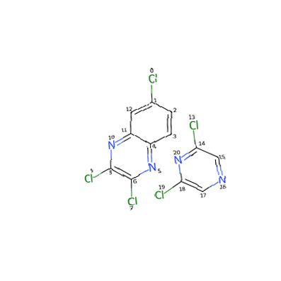 Clc1ccc2nc(Cl)c(Cl)nc2c1.Clc1cncc(Cl)n1